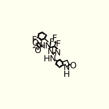 CN(c1c(F)cccc1CNc1nc(Nc2ccc3c(c2)CC(=O)N3)ncc1C(F)(F)F)S(C)(=O)=O